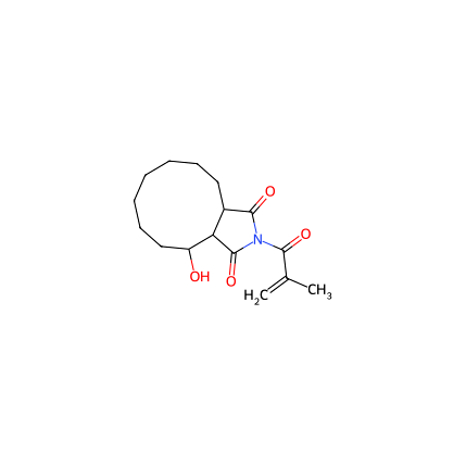 C=C(C)C(=O)N1C(=O)C2CCCCCCCC(O)C2C1=O